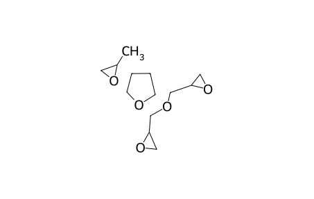 C(OCC1CO1)C1CO1.C1CCOC1.CC1CO1